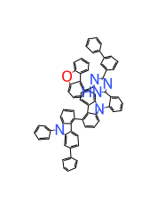 c1ccc(-c2cccc(C3=NC(c4ccccc4-n4c5ccccc5c5c(-c6cccc7c6c6ccc(-c8ccccc8)cc6n7-c6ccccc6)cccc54)NC(c4cccc5oc6ccccc6c45)=N3)c2)cc1